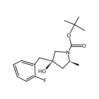 C[C@H]1C[C@](O)(Cc2ccccc2F)CN1C(=O)OC(C)(C)C